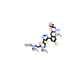 Cc1cc(Cl)cc(-c2ncnc3cc(CN(C)C(=O)CCN(C)C=O)sc23)c1CC1CNCC2(COC2)O1